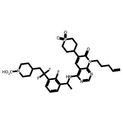 C=CCCCn1c(=O)c(C2CCS(=O)(=O)CC2)cc2c(NC(C)c3cccc(C(F)(F)CC4CCN(C(=O)O)CC4)c3F)ncnc21